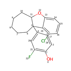 Oc1ccc(C23CCCCCC2Oc2cccc(Cl)c23)cc1F